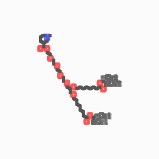 CCCCCCCCC(CCCCCCCC)OC(=O)CCCCCCCOCC(COCCOCCOCCOCCOC(=O)C1CCCN(C)C1)OCCCCCCCC(=O)OC(CCCCCCCC)CCCCCCCC